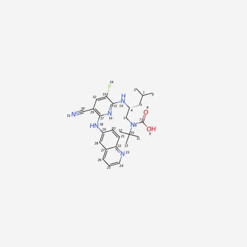 CC(C)C[C@H](CN(C(=O)O)C(C)(C)C)Nc1nc(Nc2ccc3ncccc3c2)c(C#N)cc1F